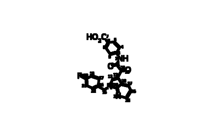 O=C(Nc1ccc(C(=O)O)cc1)C(=O)c1cn(Cc2ccc(F)cc2)c2ncccc12